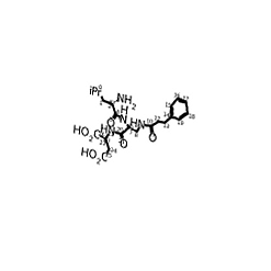 CC(C)C[C@H](N)C(=O)N[C@@H](CNC(=O)CCc1ccccc1)C(=O)N[C@@H](CC(=O)O)C(=O)O